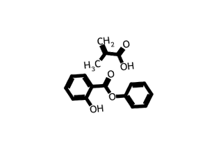 C=C(C)C(=O)O.O=C(Oc1ccccc1)c1ccccc1O